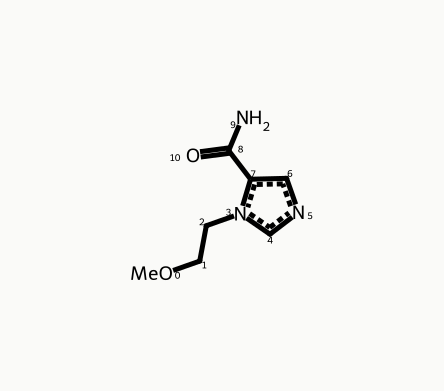 COCCn1cncc1C(N)=O